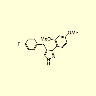 COc1ccc(-c2n[nH]cc2Sc2ccc(F)cc2)c(OC)c1